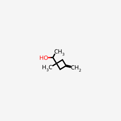 C=C1CC(C)(C(C)O)C1